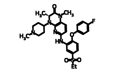 CCS(=O)(=O)c1ccc(Oc2ccc(F)cc2)c(Nc2ccc3c(n2)N(C2CCN(C)CC2)[C@H](C)C(=O)N3C)c1